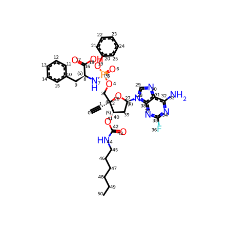 C#C[C@]1(CO[P@@](=O)(N[C@@H](Cc2ccccc2)C(=O)O)Oc2ccccc2)O[C@@H](n2cnc3c(N)nc(F)nc32)C[C@@H]1OC(=O)NCCCCCC